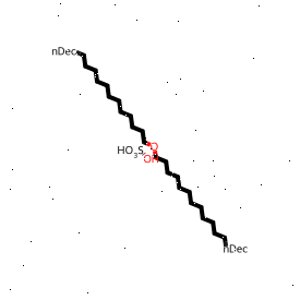 CCCCCCCCCCCCCCCCCCCCCCOCCCCCCCCCCCCCCCCCCCCCC.O=S(=O)(O)O